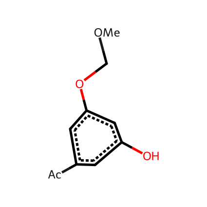 COCOc1cc(O)cc(C(C)=O)c1